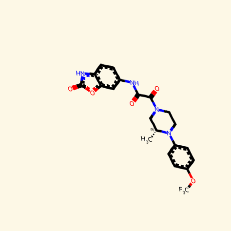 C[C@@H]1CN(C(=O)C(=O)Nc2ccc3[nH]c(=O)oc3c2)CCN1c1ccc(OC(F)(F)F)cc1